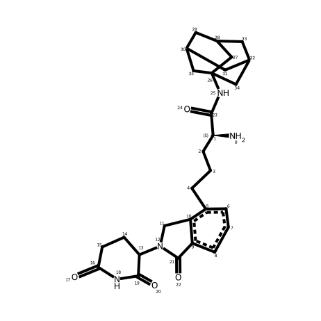 N[C@@H](CCCc1cccc2c1CN(C1CCC(=O)NC1=O)C2=O)C(=O)NC12CC3CC(CC(C3)C1)C2